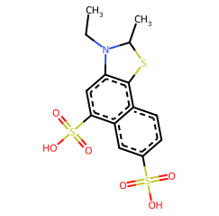 CCN1c2cc(S(=O)(=O)O)c3cc(S(=O)(=O)O)ccc3c2SC1C